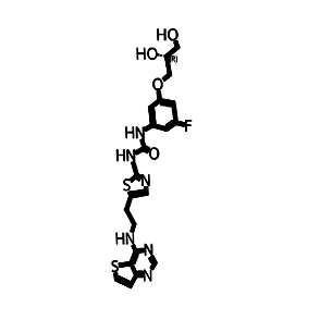 O=C(Nc1cc(F)cc(OC[C@H](O)CO)c1)Nc1ncc(CCNc2ncnc3ccsc23)s1